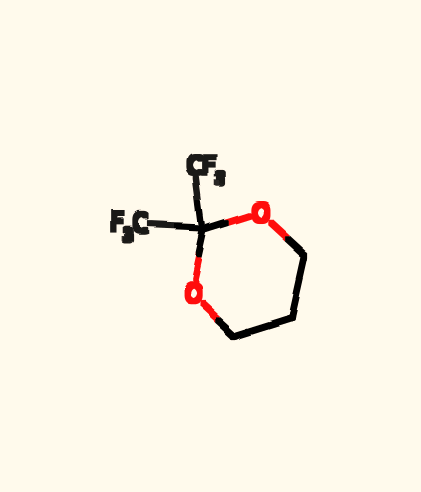 FC(F)(F)C1(C(F)(F)F)OCCCO1